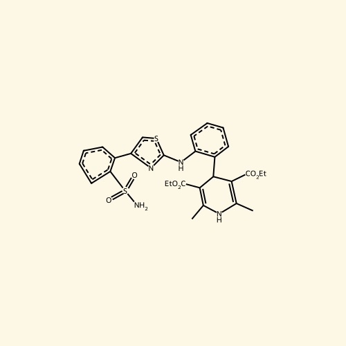 CCOC(=O)C1=C(C)NC(C)=C(C(=O)OCC)C1c1ccccc1Nc1nc(-c2ccccc2S(N)(=O)=O)cs1